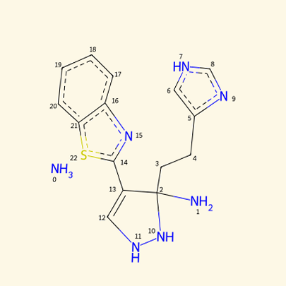 N.NC1(CCc2c[nH]cn2)NNC=C1c1nc2ccccc2s1